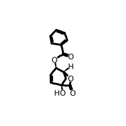 O=C(O[C@@H]1C=C[C@]2(O)C[C@H]1OC2=O)c1ccccc1